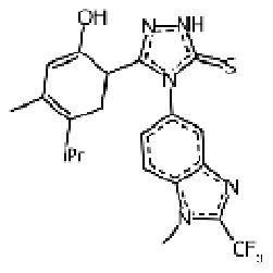 CC1=C(C(C)C)CC(c2n[nH]c(=S)n2-c2ccc3c(c2)nc(C(F)(F)F)n3C)C(O)=C1